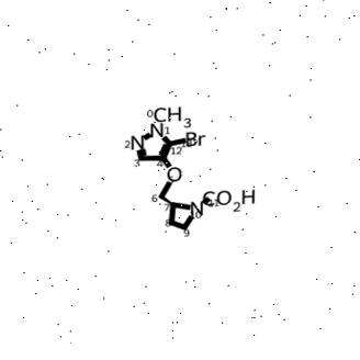 Cn1ncc(OC[C@@H]2CCN2C(=O)O)c1Br